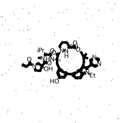 C=CC(=O)N1CC[C@](O)(C(=O)N(C)[C@H](C(=O)N[C@H]2Cc3cc(O)cc(c3)-c3ccc4c(c3)c(c(-c3cncnc3)n4CC)CC(C)(C)COC(=O)[C@@]3(O)CCCN(N3)C2=O)C(C)C)C1